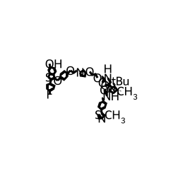 Cc1ncsc1-c1ccc(CNC(=O)[C@@H]2C[C@@H](C)CN2C(=O)[C@@H](NC(=O)COCCO[C@@H]2CCN(CCOc3ccc(Oc4c(-c5ccc(F)cc5)sc5cc(O)ccc45)cc3)C2)C(C)(C)C)cc1